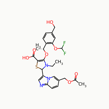 CCN1C(O[C@H](C)c2ccc(CO)cc2OC(F)F)=C(C(=O)O)SC1c1cnc2ccc(COC(C)=O)cn12